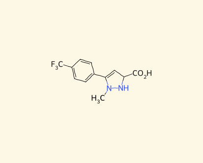 CN1NC(C(=O)O)C=C1c1ccc(C(F)(F)F)cc1